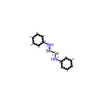 c1ccc(N[Se][Se]Nc2ccccc2)cc1